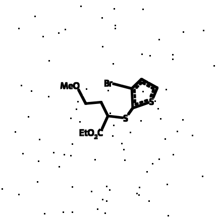 CCOC(=O)C(CCOC)Sc1sccc1Br